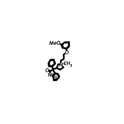 COc1cccc(OCCC[N+]2(C)CCC(C(C(N)=O)(c3ccccc3)c3ccccc3)C2)c1